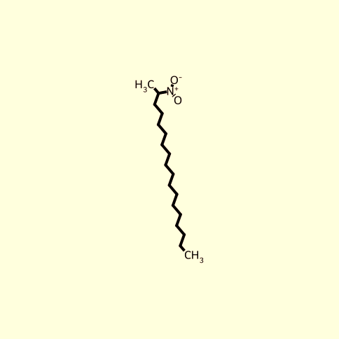 CCCCCCCCCCCCCCCCC(C)[N+](=O)[O-]